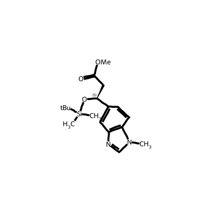 COC(=O)C[C@H](O[Si](C)(C)C(C)(C)C)c1ccc2c(c1)ncn2C